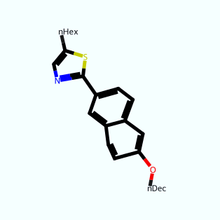 CCCCCCCCCCOc1ccc2cc(-c3ncc(CCCCCC)s3)ccc2c1